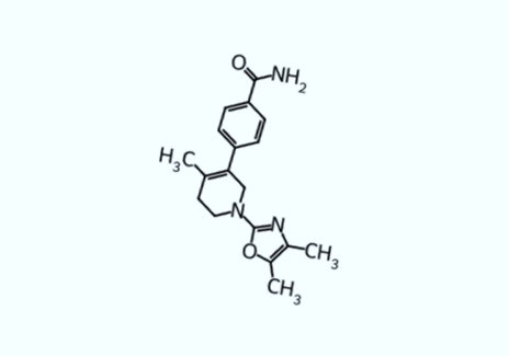 CC1=C(c2ccc(C(N)=O)cc2)CN(c2nc(C)c(C)o2)CC1